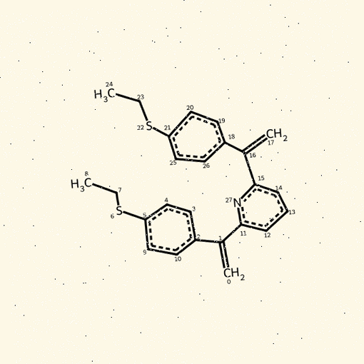 C=C(c1ccc(SCC)cc1)c1cccc(C(=C)c2ccc(SCC)cc2)n1